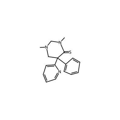 CN1CN(C)C(=S)C(c2ccccc2)(c2ccccn2)C1